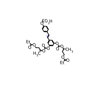 CCC(=O)OCC[C@@H](C)OC(=O)Oc1cc(/C=C/c2ccc(OC(=O)O)cc2)cc(OC(=O)O[C@H](C)CCOC(=O)CC)c1